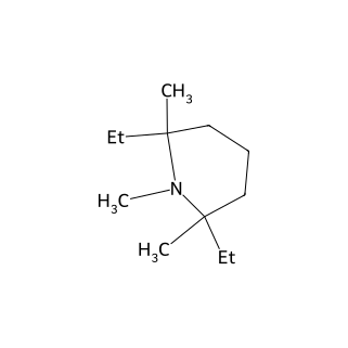 CCC1(C)CCCC(C)(CC)N1C